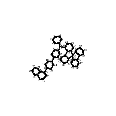 c1ccc(N(c2ccc(-c3ccc(-c4cccc5ccccc45)cc3)cc2)c2cccc3c2-c2ccccc2C32c3ccccc3-c3ccccc32)cc1